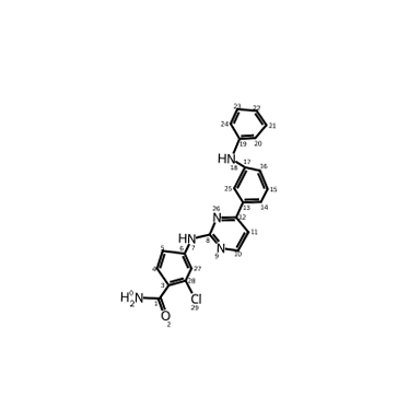 NC(=O)c1ccc(Nc2nccc(-c3cccc(Nc4ccccc4)c3)n2)cc1Cl